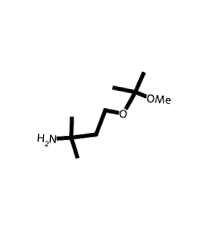 COC(C)(C)OCCC(C)(C)N